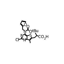 Cc1c(CC(C)C(=O)O)sc2c(N(Cc3ccco3)C(=O)OC(C)(C)C)nc(Cl)nc12